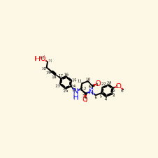 COc1ccc(CN2C(=O)CCC(Nc3ccc(C#CCCO)cc3)C2=O)cc1